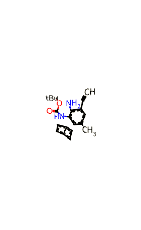 C#Cc1cc(C)cc(NC(=O)OC(C)(C)C)c1N.c1cc2ccc1-2